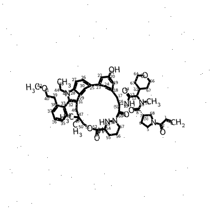 C=CC(=O)N1CC[C@H](C(=O)N(C)C(C(=O)N[C@H]2Cc3cc(O)cc(c3)-c3ccc4c(c3)c(c(-c3ccccc3CCOC)n4CC)CC(C)(C)COC(=O)[C@@H]3CCCN(N3)C2=O)C2CCOCC2)C1